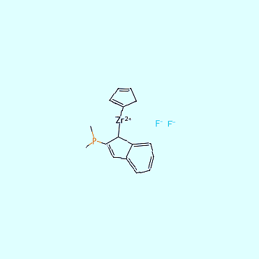 CP(C)C1=Cc2ccccc2[CH]1[Zr+2][C]1=CC=CC1.[F-].[F-]